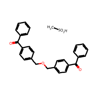 CS(=O)(=O)O.O=C(c1ccccc1)c1ccc(COCc2ccc(C(=O)c3ccccc3)cc2)cc1